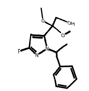 COC(CO)(OC)c1cc(F)nn1C(C)c1ccccc1